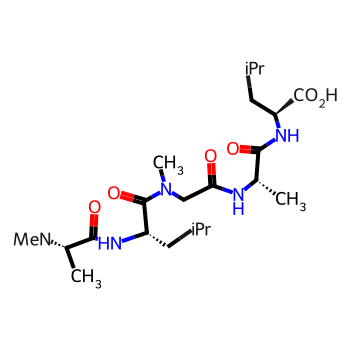 CN[C@@H](C)C(=O)N[C@@H](CC(C)C)C(=O)N(C)CC(=O)N[C@@H](C)C(=O)N[C@@H](CC(C)C)C(=O)O